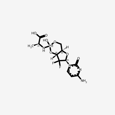 C[C@H](N[PH]1(O)OC[C@H]2O[C@@H](n3ccc(N)nc3=O)C(F)(F)[C@@H]2O1)C(=O)O